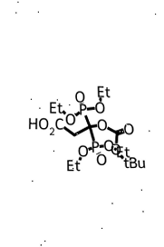 CCOP(=O)(OCC)C(CC(=O)O)(OC(=O)OC(C)(C)C)P(=O)(OCC)OCC